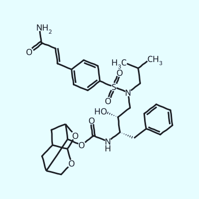 CC(C)CN(C[C@@H](O)[C@H](Cc1ccccc1)NC(=O)OC1C2COC3OC1CC3C2)S(=O)(=O)c1ccc(/C=C/C(N)=O)cc1